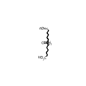 CCCCCCCCCCCCCCCCCCCCCC(=O)O.[CaH2].[CaH2]